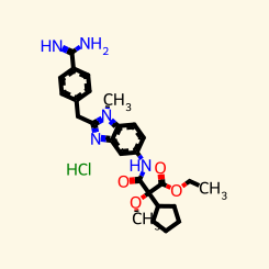 CCOC(=O)C(OC)(C(=O)Nc1ccc2c(c1)nc(Cc1ccc(C(=N)N)cc1)n2C)C1CCCC1.Cl